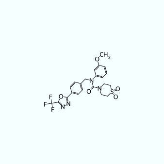 COc1cccc(N(Cc2ccc(-c3nnc(C(F)(F)F)o3)cc2)C(=O)N2CCS(=O)(=O)CC2)c1